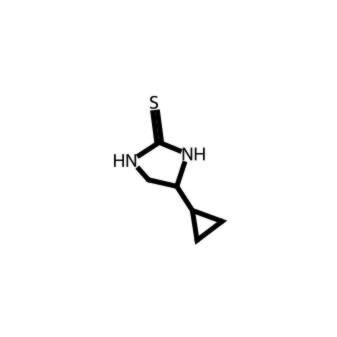 S=C1NCC(C2CC2)N1